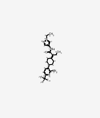 CCC(C(=O)Nc1cnn(CC)c1)=C1CCC(c2ccc(C(F)(F)F)nc2N)CC1